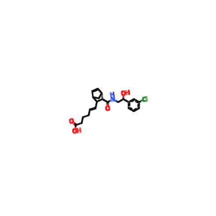 O=C(O)CCCC=CC1C2C=CC(C2)C1C(=O)NCC(O)c1cccc(Cl)c1